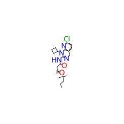 CCCC(C)(C)O[C@H](C)CC(=O)NC1=NCc2ccc(Cl)nc2N1C1CCC1